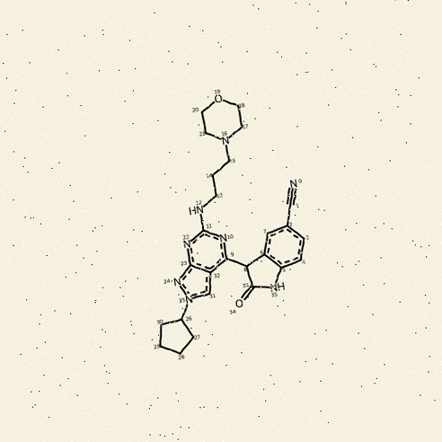 N#Cc1ccc2c(c1)C(c1nc(NCCCN3CCOCC3)nc3nn(C4CCCC4)cc13)C(=O)N2